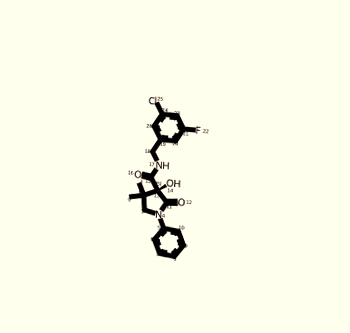 CC1(C)CN(c2ccccc2)C(=O)[C@@]1(O)C(=O)NCc1cc(F)cc(Cl)c1